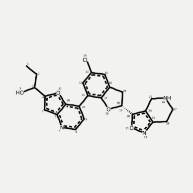 CCC(O)c1cc2nccc(-c3cc(Cl)cc4c3O[C@@H](c3onc5c3CNCC5)C4)c2o1